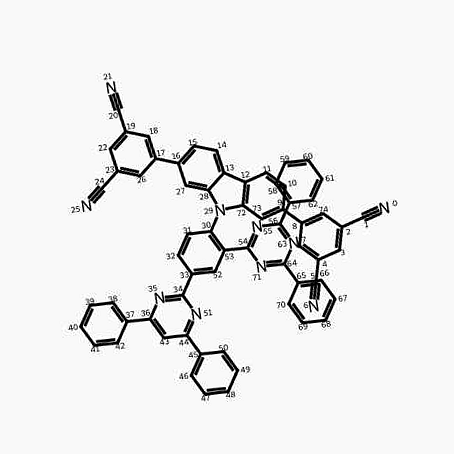 N#Cc1cc(C#N)cc(-c2ccc3c4ccc(-c5cc(C#N)cc(C#N)c5)cc4n(-c4ccc(-c5nc(-c6ccccc6)cc(-c6ccccc6)n5)cc4-c4nc(-c5ccccc5)nc(-c5ccccc5)n4)c3c2)c1